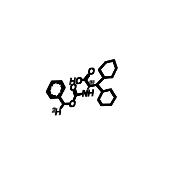 [2H]C(OC(=O)N[C@H](C(=O)O)C(C1CCCCC1)C1CCCCC1)c1ccccc1